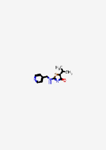 CC(C)C1SC(NCc2ccncc2)=NC1=O